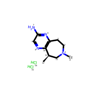 CCN1CCc2nc(N)cnc2[C@H](C)C1.Cl.Cl